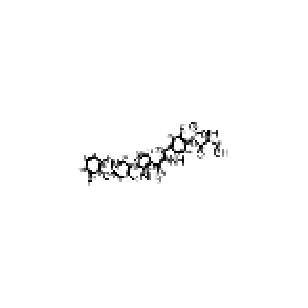 Cc1cc(Oc2c(F)cccc2F)ncc1-n1ncc(C(=O)c2cc3cc(F)c(N4C(=O)N[C@@H](CO)C4=O)cc3[nH]2)c1N